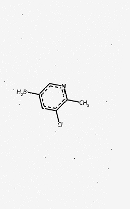 Bc1cnc(C)c(Cl)c1